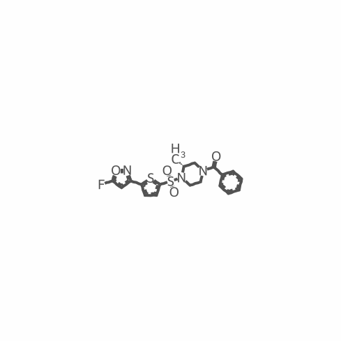 C[C@@H]1CN(C(=O)c2ccccc2)CCN1S(=O)(=O)c1ccc(-c2cc(F)on2)s1